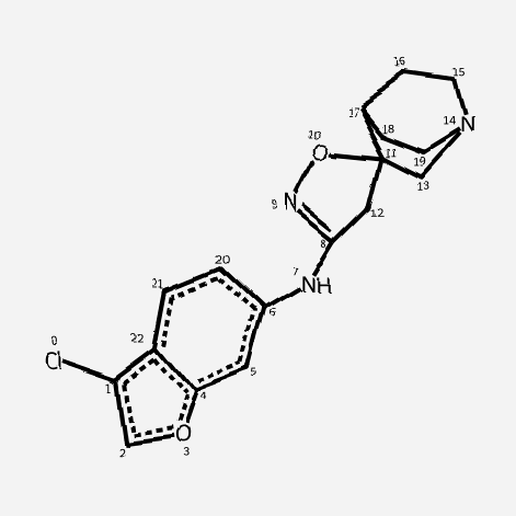 Clc1coc2cc(NC3=NOC4(C3)CN3CCC4CC3)ccc12